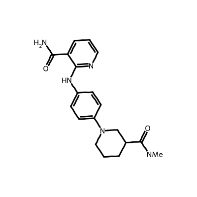 CNC(=O)C1CCCN(c2ccc(Nc3ncccc3C(N)=O)cc2)C1